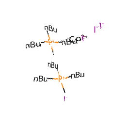 CCCC[P+](C)(CCCC)CCCC.CCCC[P+](C)(CCCC)CCCC.[Co+2].[I-].[I-].[I-].[I-]